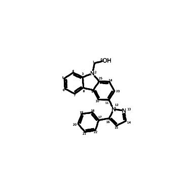 OCn1c2ccccc2c2cc(-n3nccc3-c3ccccc3)ccc21